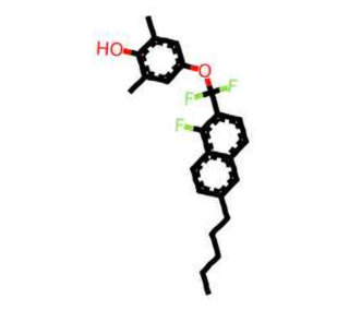 CCCCCc1ccc2c(F)c(C(F)(F)Oc3cc(C)c(O)c(C)c3)ccc2c1